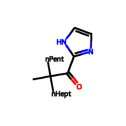 CCCCCCCC(C)(CCCCC)C(=O)c1ncc[nH]1